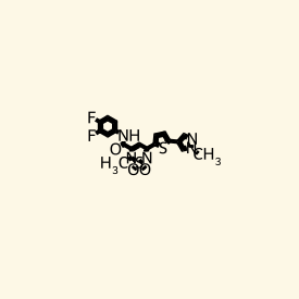 CN1C(C(=O)Nc2ccc(F)c(F)c2)=CC(c2ccc(-c3cnn(C)c3)s2)=NS1(=O)=O